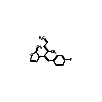 C=C/C=C(C)/C(=C\c1ccc(F)cc1)N1C=COC1=C